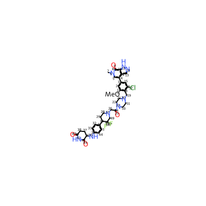 COc1cc(-c2cn(C)c(=O)c3[nH]ncc23)cc(Cl)c1CN1CCN(C(=O)CN2CCC(c3ccc(NC4CCC(=O)NC4=O)cc3)C(F)(F)C2)CC1